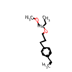 C=Cc1ccc(CCCO[SiH](CC)COC)cc1